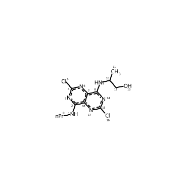 CCCNc1nc(Cl)nc2c(NC(C)CO)nc(Cl)nc12